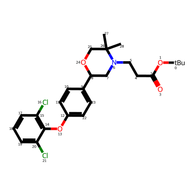 CC(C)(C)OC(=O)CCN1CC(c2ccc(Oc3c(Cl)cccc3Cl)cc2)OCC1(C)C